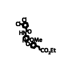 CCOC(=O)CCc1ccc(Oc2ccc(NC(=O)c3ccc(Cl)c(Cl)c3)cn2)c(OC)c1